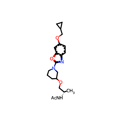 CC(=O)N[C@@H](C)COC1CCCN(c2nc3ccc(OCC4CC4)cc3o2)C1